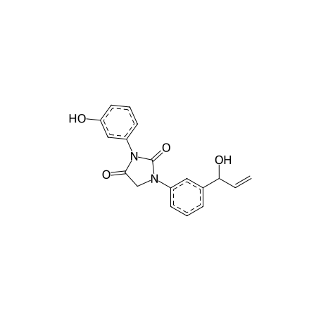 C=CC(O)c1cccc(N2CC(=O)N(c3cccc(O)c3)C2=O)c1